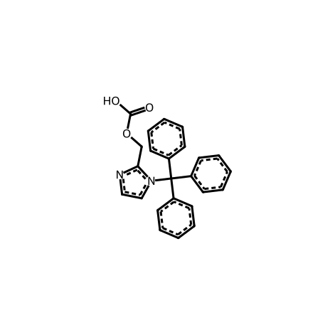 O=C(O)OCc1nccn1C(c1ccccc1)(c1ccccc1)c1ccccc1